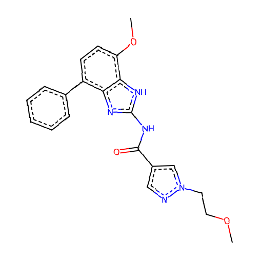 COCCn1cc(C(=O)Nc2nc3c(-c4ccccc4)ccc(OC)c3[nH]2)cn1